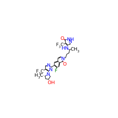 C[C@@H](CCCn1ccc2cc(-c3ncc(C(F)(F)F)c(N4C[C@H](O)C[C@@H]4C)n3)c(F)cc2c1=O)Nc1cn[nH]c(=O)c1C(F)(F)F